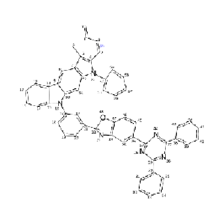 C=C/C=C\c1c(C)c2cc3c4ccccc4n(-c4cccc(-c5nc6cc(-c7nc(-c8ccccc8)nc(-c8ccccc8)n7)ccc6o5)c4)c3cc2n1-c1ccccc1